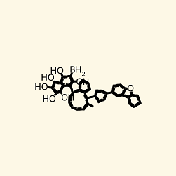 Bc1c(O)c(-c2cccccc(C)c(-c3ccc(-c4ccc5oc6ccccc6c5c4)cc3)c3ccccc23)c2c(O)c(O)c(O)c(O)c2c1O